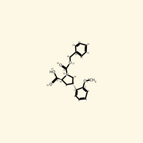 COc1ccccc1[C@@H]1C[C@@H](C(=O)O)N(C(=O)OCc2ccccc2)C1